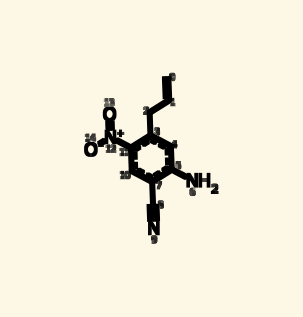 C=CCc1cc(N)c(C#N)cc1[N+](=O)[O-]